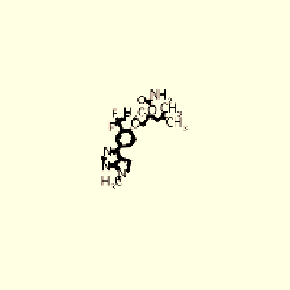 CC(C)C[C@@](C)(COc1ccc(-c2ncnc3c2ccn3C)cc1C(F)(F)F)OC(N)=O